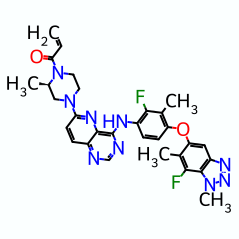 C=CC(=O)N1CCN(c2ccc3ncnc(Nc4ccc(Oc5cc6nnn(C)c6c(F)c5C)c(C)c4F)c3n2)C[C@H]1C